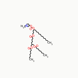 CCCCCCCCCCCCC(CCCOC(=O)CCCCC(COC(=O)CCCCCCC)COC(=O)CCCCCCC)OC(=O)O[C@H]1CCN(C)C1